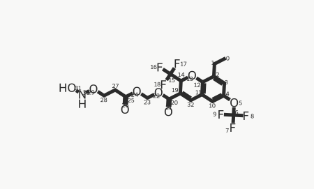 CCc1cc(OC(F)(F)F)cc2c1OC(C(F)(F)F)C(C(=O)OCOC(=O)CCONO)=C2